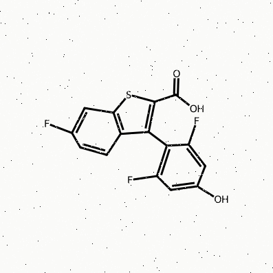 O=C(O)c1sc2cc(F)ccc2c1-c1c(F)cc(O)cc1F